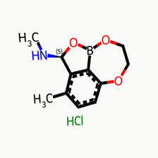 CN[C@H]1OB2OCCOc3ccc(C)c1c32.Cl